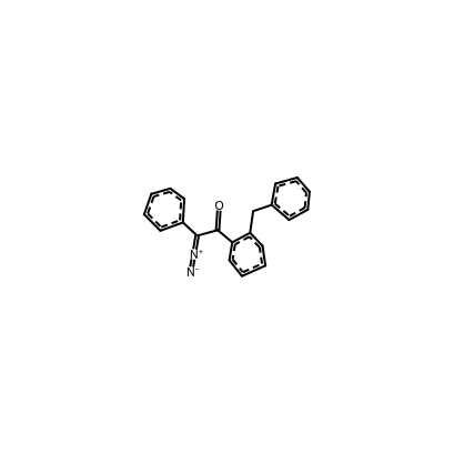 [N-]=[N+]=C(C(=O)c1ccccc1Cc1ccccc1)c1ccccc1